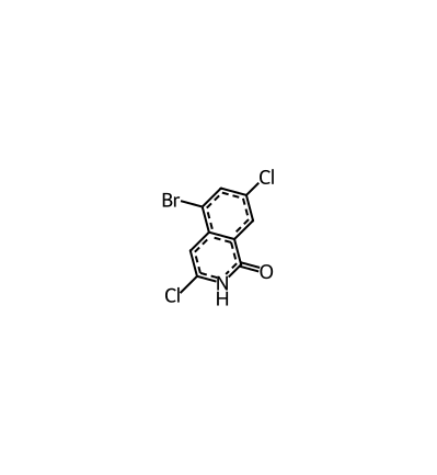 O=c1[nH]c(Cl)cc2c(Br)cc(Cl)cc12